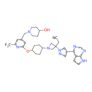 N#CCC1(n2cc(-c3ncnc4[nH]ccc34)cn2)CN(C2CCC(Oc3cc(CN4CCC(O)CC4)cc(C(F)(F)F)n3)CC2)C1